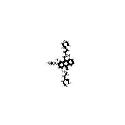 Cl.Cl.Cl.Cl.c1ccc2c(CNCCN3CCOCC3)c3ccccc3c(CNCCN3CCOCC3)c2c1